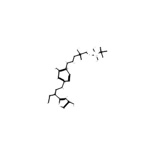 CCC(CCc1ccc(CCCC(C)(C)CO[Si](C)(C)C(C)(C)C)c(C)c1)c1cc(C)cs1